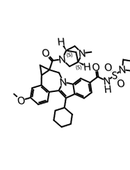 COc1ccc2c(c1)C1CC1(C(=O)N1C[C@@H]3C[C@H]1CN3C)Cn1c-2c(C2CCCCC2)c2ccc(C(=O)NS(=O)(=O)N3CCC3)cc21